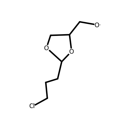 [O]CC1COC(CCCCl)O1